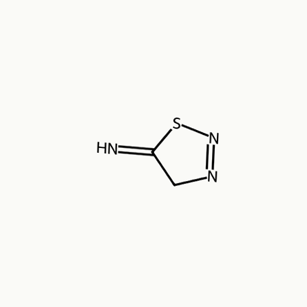 N=C1CN=NS1